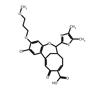 COCCCOc1cc2c(cc1Cl)/C1=C/C(=O)/C(C(=O)O)=C\CC(C1)C(c1nc(C)c(C)s1)O2